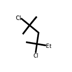 CCC(C)(Cl)CC(C)(C)Cl